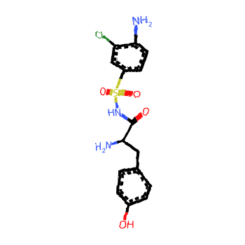 Nc1ccc(S(=O)(=O)NC(=O)C(N)Cc2ccc(O)cc2)cc1Cl